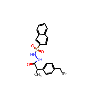 CC(C)Cc1ccc(C(C)C(=O)NNS(=O)(=O)c2ccc3ccccc3c2)cc1